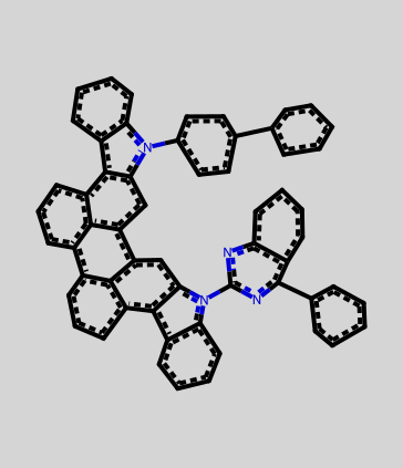 c1ccc(-c2ccc(-n3c4ccccc4c4c5cccc6c7cccc8c7c(cc7c8c8ccccc8n7-c7nc(-c8ccccc8)c8ccccc8n7)c(cc43)c65)cc2)cc1